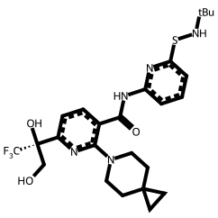 CC(C)(C)NSc1cccc(NC(=O)c2ccc([C@](O)(CO)C(F)(F)F)nc2N2CCC3(CC2)CC3)n1